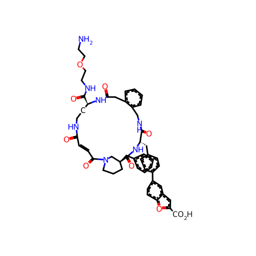 NCCOCCNC(=O)[C@@H]1CCNC(=O)/C=C/C(=O)N2CCC[C@](Cc3ccccc3)(C2)C(=O)N[C@@H](Cc2ccc(-c3ccc4oc(C(=O)O)cc4c3)cc2)C(=O)NCc2ccccc2CC(=O)N1